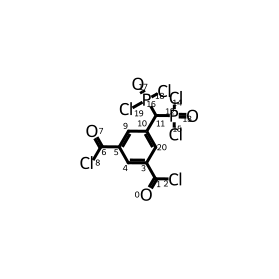 O=C(Cl)c1cc(C(=O)Cl)cc(C(P(=O)(Cl)Cl)P(=O)(Cl)Cl)c1